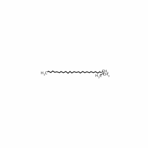 CCCCCCCCCCCCCCCCCCCCCCCCC[CH][Si](C)(C)C